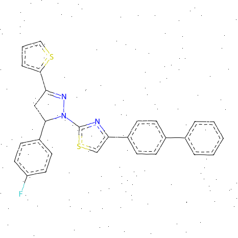 Fc1ccc(C2CC(c3cccs3)=NN2c2nc(-c3ccc(-c4ccccc4)cc3)cs2)cc1